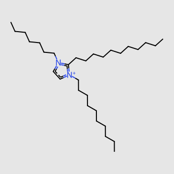 CCCCCCCCCCCc1n(CCCCCCC)cc[n+]1CCCCCCCCCC